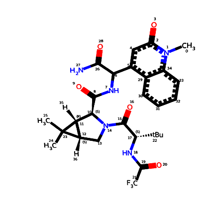 Cn1c(=O)cc(C(NC(=O)[C@@H]2[C@@H]3[C@H](CN2C(=O)[C@@H](NC(=O)C(F)(F)F)C(C)(C)C)C3(C)C)C(N)=O)c2ccccc21